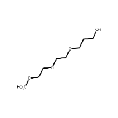 O=C(O)OCCOCCOCCCO